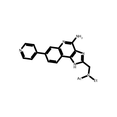 CCN(Cc1nc2c(N)nc3cc(-c4ccncc4)ccc3c2[nH]1)C(C)=O